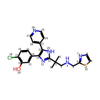 CC(C)(CNCc1nccs1)c1nc(-c2ccc(Cl)c(O)c2)c(-c2ccncc2)[nH]1